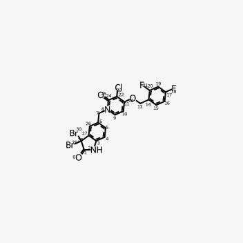 O=C1Nc2ccc(Cn3ccc(OCc4ccc(F)cc4F)c(Cl)c3=O)cc2C1(Br)Br